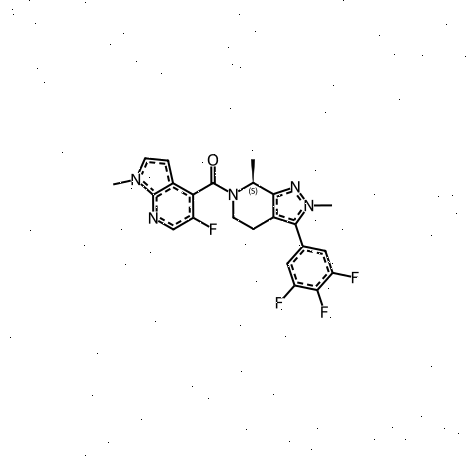 C[C@H]1c2nn(C)c(-c3cc(F)c(F)c(F)c3)c2CCN1C(=O)c1c(F)cnc2c1ccn2C